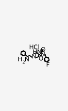 Cl.N[C@@H](CCN1CCC2(CC1)NC(=O)N(Cc1ccc(F)cc1)C2=O)c1ccccc1